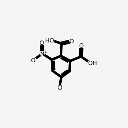 O=C(O)c1cc(Cl)cc([N+](=O)[O-])c1C(=O)O